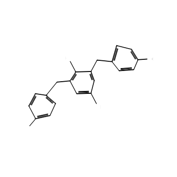 Oc1ccc(Cc2cc(Cl)cc(Cc3ccc(O)cc3)c2O)cc1